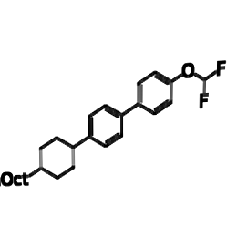 CCCCCCCCC1CCC(c2ccc(-c3ccc(OC(F)F)cc3)cc2)CC1